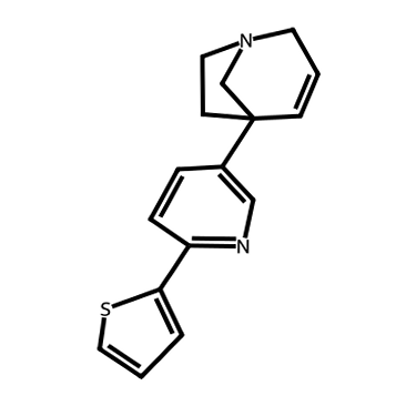 C1=CC2(c3ccc(-c4cccs4)nc3)CCN(C1)C2